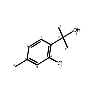 Cc1ccc(C(C)(C)O)c(Cl)c1